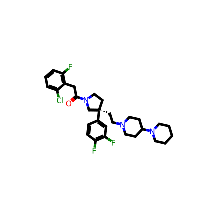 O=C(Cc1c(F)cccc1Cl)N1CC[C@@](CCN2CCC(N3CCCCC3)CC2)(c2ccc(F)c(F)c2)C1